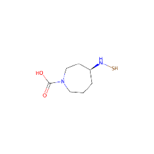 O=C(O)N1CCC[C@H](NS)CC1